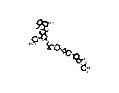 CCc1cccc2cc(O)cc(-c3ncc4c(N5CCC[C@@](C)(O)C5)nc(OCC5(CN6CCC(N7CC8(CCN(c9ccc%10c(c9)CN([C@H]9CCC(=O)NC9=O)C%10=O)CC8)C7)CC6)CC5)nc4c3F)c12